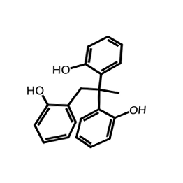 CC(Cc1ccccc1O)(c1ccccc1O)c1ccccc1O